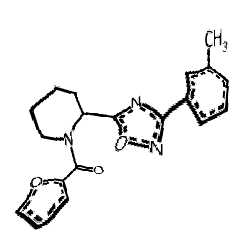 Cc1cccc(-c2noc(C3CCCCN3C(=O)c3ccco3)n2)c1